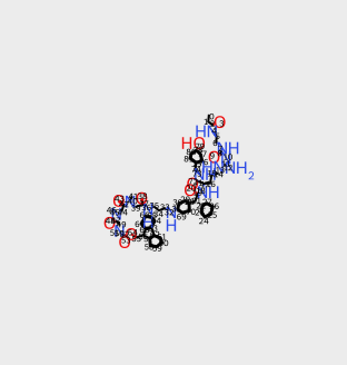 CCC(=O)NCCNC(=O)/N=C(/N)NCCCC(NC(=O)[C@H](c1ccccc1)c1ccc(NCCCNC(=O)CN(C)C(=O)CN(C)C(=O)CN(C)C(=O)OCC2c3ccccc3-c3ccccc32)cc1)C(=O)NCc1ccc(O)cc1